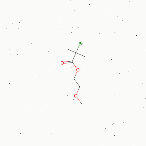 COCCOC(=O)C(C)(C)Br